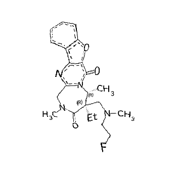 CC[C@]1(CN(C)CCF)C(=O)N(C)Cc2nc3c(oc4ccccc43)c(=O)n2[C@@H]1C